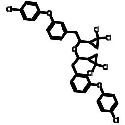 Clc1ccc(Oc2cccc(CC(OC(Cc3cccc(Oc4ccc(Cl)cc4)c3)C3CC3(Cl)Cl)C3CC3(Cl)Cl)c2)cc1